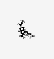 NCC(=O)N1C[C@@H]2CC(N)(C(=O)O)C(CCCB(O)O)[C@@H]2C1